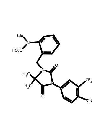 CC(C)(C)N(C(=O)O)c1ccccc1CN1C(=O)N(c2ccc(C#N)c(C(F)(F)F)c2)C(=O)C1(C)C